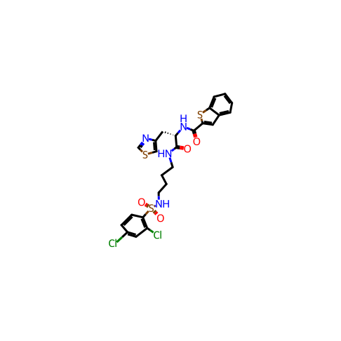 O=C(N[C@@H](Cc1cscn1)C(=O)NCCCCNS(=O)(=O)c1ccc(Cl)cc1Cl)c1cc2ccccc2s1